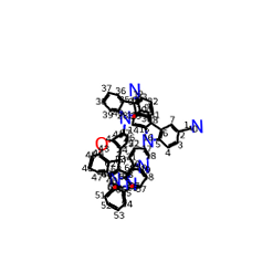 N#Cc1ccc2c(c1)c1cc(C#N)ccc1n2-c1cnc2c(c1)[C@]1(c3ccc(-n4c5ccccc5c5ccccc54)cc3Oc3cccc(-n4c5ccccc5c5ccccc54)c31)c1cccnc1-2